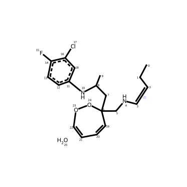 CC/C=C\NCC1(CC(C)Nc2ccc(F)c(Cl)c2)C=CC=COO1.O